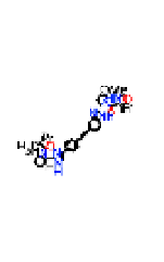 COC(=O)N[C@H](C(=O)N1CCC[C@H]1c1nc2cc(C#Cc3ccc(-c4c[nH]c(C5[C@H]6CC[C@H](C6)N5C(=O)[C@@H](C)C(C)C)n4)cc3)ccc2[nH]1)C(C)C